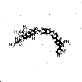 CNC(=O)COc1cc2cc(Nc3nc(N4CCC5(CCC(CN6CCC(c7ccc8c(C9CCC(=O)NC9=O)nn(C)c8c7F)CC6)CC5)CC4)ncc3Cl)cnc2n(C(C)C)c1=O